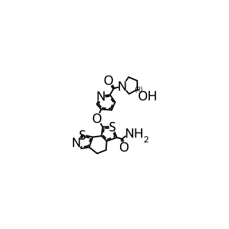 NC(=O)c1sc(Oc2ccc(C(=O)N3CC[C@@H](O)C3)nc2)c2c1CCc1cnsc1-2